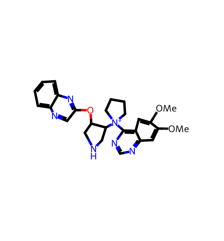 COc1cc2ncnc([N+]3(C4CNCC4Oc4cnc5ccccc5n4)CCCC3)c2cc1OC